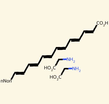 CCCCCCCCCC=CC=CC=CC=CC=CC=CC(=O)O.NCC(=O)O.NCC(=O)O